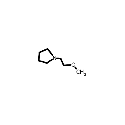 COCCN1CCCC1